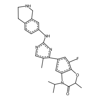 Cc1cnc(Nc2ccc3c(c2)CNCC3)nc1-c1cc(F)c2c(c1)N(C(C)C)C(=O)C(C)O2